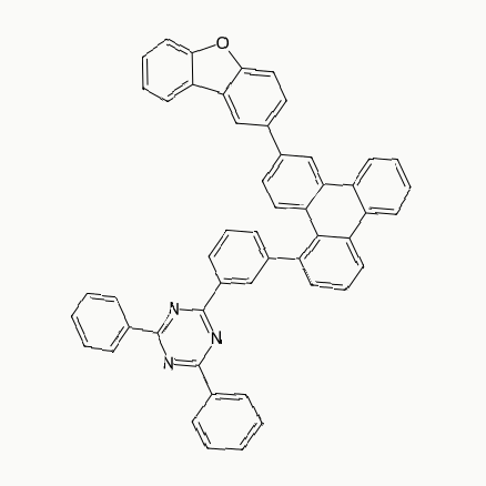 c1ccc(-c2nc(-c3ccccc3)nc(-c3cccc(-c4cccc5c6ccccc6c6cc(-c7ccc8oc9ccccc9c8c7)ccc6c45)c3)n2)cc1